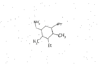 CCC1C(C)C(CN)CC(C(C)C)C1C